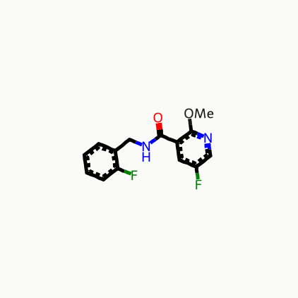 COc1ncc(F)cc1C(=O)NCc1ccccc1F